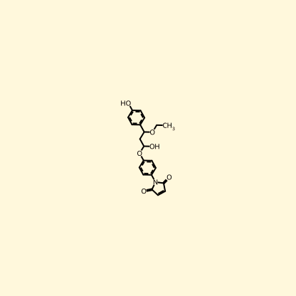 CCOC(CC(O)Oc1ccc(N2C(=O)C=CC2=O)cc1)c1ccc(O)cc1